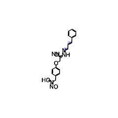 N.O=NN(O)Cc1ccc(OCC(=O)N/N=C/C=C/c2ccccc2)cc1